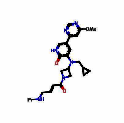 COc1cc(-c2c[nH]c(=O)c(N(CC3CC3)C3CN(C(=O)/C=C/CNC(C)C)C3)c2)ncn1